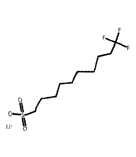 O=S(=O)([O-])CCCCCCCCCC(F)(F)F.[Li+]